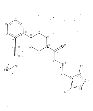 Cc1noc(C)c1CSCC(=O)N1CCC(c2ccccc2C#CCO)CC1